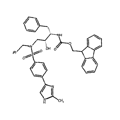 Cc1nc(-c2ccc(S(=O)(=O)N(CC(C)C)C[C@@H](O)[C@H](Cc3ccccc3)NC(=O)OCC3c4ccccc4-c4ccccc43)cc2)c[nH]1